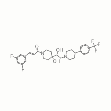 O=C(C=Cc1cc(F)cc(F)c1)N1CCC(O)(C(O)CN2CCC(c3ccc(C(F)(F)F)cc3)CC2)CC1